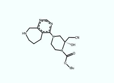 CC(C)(C)OC(=O)N1CCN(c2ncnc3c2CCCNC3)C[C@@]1(O)CC#N